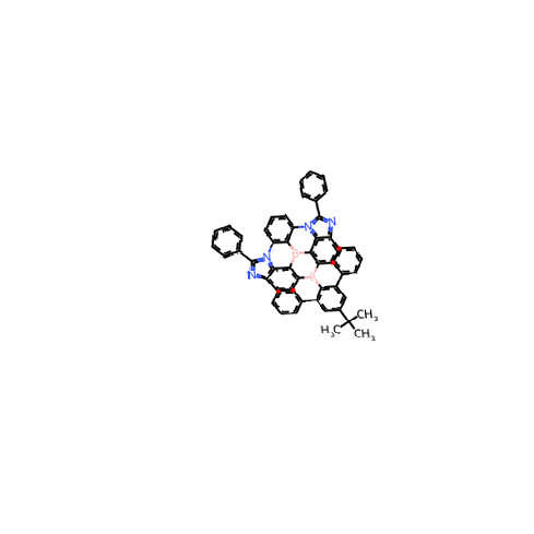 CC(C)(C)c1cc(-c2ccccc2)c(B2c3ccc4nc(-c5ccccc5)n5c4c3B3c4c-5cccc4-n4c(-c5ccccc5)nc5ccc2c3c54)c(-c2ccccc2)c1